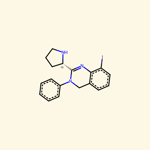 Ic1cccc2c1N=C([C@@H]1CCCN1)N(c1ccccc1)C2